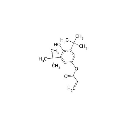 C=CC(=O)Oc1cc(C(C)(C)C)c(O)c(C(C)(C)C)c1